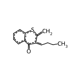 C=c1sc2ccccc2c(=O)/c1=C/CCC